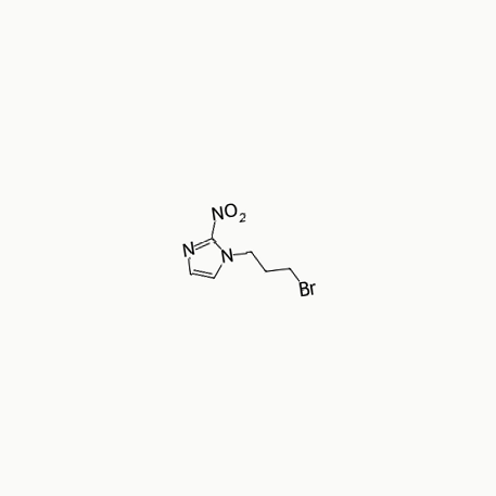 O=[N+]([O-])c1nccn1CCCBr